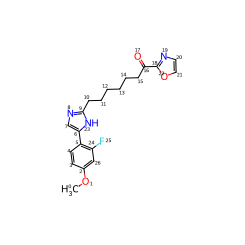 COc1ccc(-c2cnc(CCCCCCC(=O)c3ncco3)[nH]2)c(F)c1